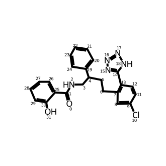 O=C(NCC(CCc1cc(Cl)ccc1-c1nnn[nH]1)c1ccccc1)c1ccccc1O